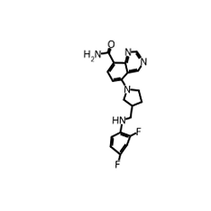 NC(=O)c1ccc(N2CCC(CNc3ccc(F)cc3F)C2)c2cncnc12